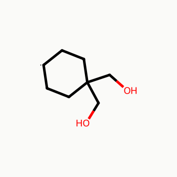 OCC1(CO)CC[CH]CC1